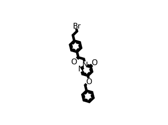 O=C(Cn1ncc(OCc2ccccc2)cc1=O)c1ccc(CCBr)cc1